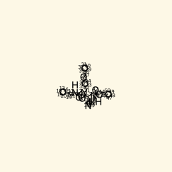 CN(C[C@H](C(=O)N(CC(=O)NCC(C)(C)c1ccccc1)Cc1ccc(OCc2ccccc2)cc1)c1cnc[nH]1)C(=O)OCc1ccccc1